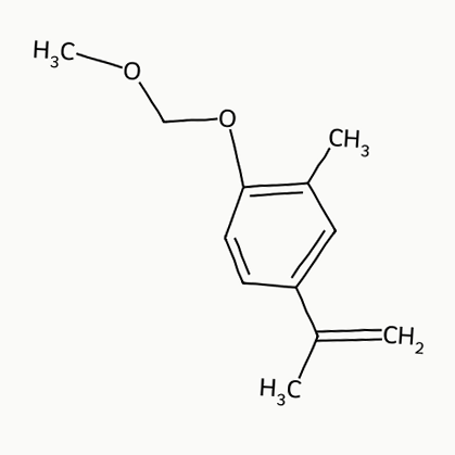 C=C(C)c1ccc(OCOC)c(C)c1